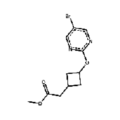 COC(=O)CC1CC(Oc2ncc(Br)cn2)C1